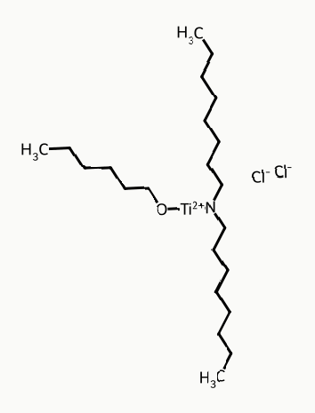 CCCCCCCC[N](CCCCCCCC)[Ti+2][O]CCCCCC.[Cl-].[Cl-]